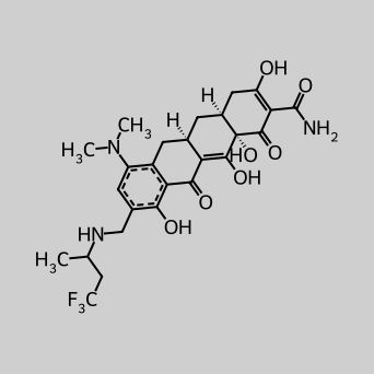 CC(CC(F)(F)F)NCc1cc(N(C)C)c2c(c1O)C(=O)C1=C(O)[C@]3(O)C(=O)C(C(N)=O)=C(O)C[C@@H]3C[C@@H]1C2